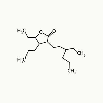 CCCC(CC)CCC1C(=O)OC(CC)C1CCC